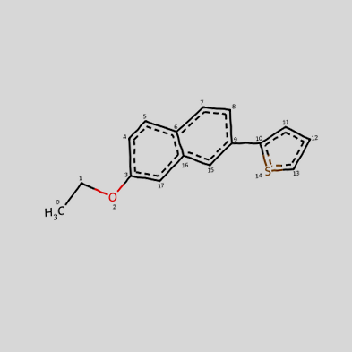 CCOc1ccc2ccc(-c3cccs3)cc2c1